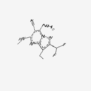 CCc1c(C(F)F)nn2c(N)c(C#N)c(NC)nc12